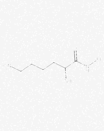 [CH2]CNC(=O)C(N)CCCCN